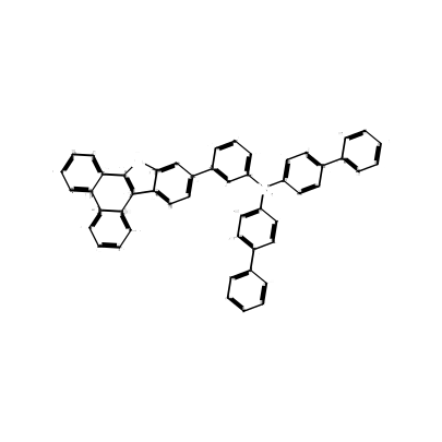 c1ccc(-c2ccc(N(c3ccc(-c4ccccc4)cc3)c3cccc(-c4ccc5c(c4)oc4c6ccccc6c6ccccc6c54)c3)cc2)cc1